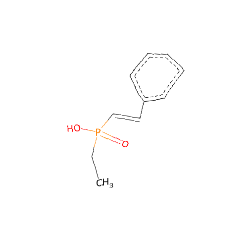 CCP(=O)(O)C=Cc1ccccc1